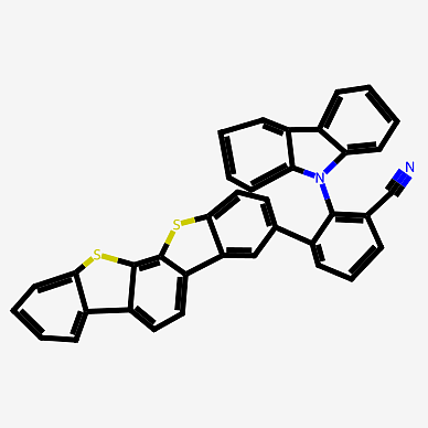 N#Cc1cccc(-c2ccc3sc4c(ccc5c6ccccc6sc54)c3c2)c1-n1c2ccccc2c2ccccc21